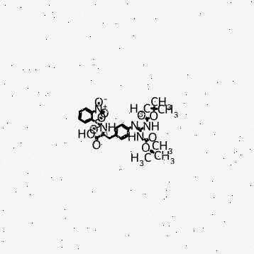 CC(C)(C)OC(=O)NC(=Nc1ccc(C[C@H](NS(=O)(=O)c2ccccc2[N+](=O)[O-])C(=O)O)cc1)NC(=O)OC(C)(C)C